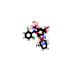 COC(=O)c1cc(OC)c2nc(N3C4CC[C@H]3C[C@H](OCc3c(-c5c(F)cccc5F)noc3C3CC3)C4)sc2c1